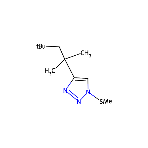 CSn1cc(C(C)(C)CC(C)(C)C)nn1